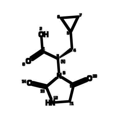 O=C(O)[C@H](CC1CC1)N1C(=O)CNC1=O